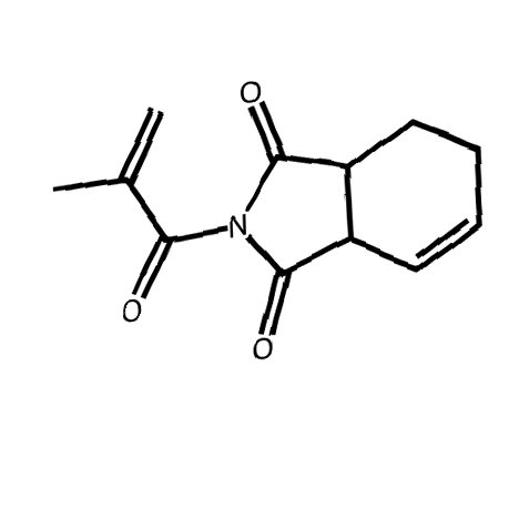 C=C(C)C(=O)N1C(=O)C2C=CCCC2C1=O